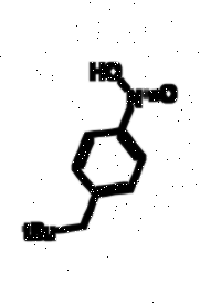 CC(C)(C)Cc1ccc([N+](=O)O)cc1